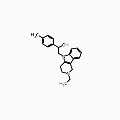 CCN1CCc2c(c3ccccc3n2CC(O)c2ccc(C)cc2)C1